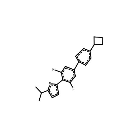 CC(C)c1ccc(-c2c(F)cc(-c3ccc(C4CCC4)cc3)cc2F)s1